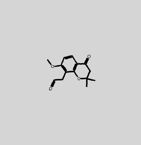 COc1ccc2c(c1CC=O)OC(C)(C)CC2=O